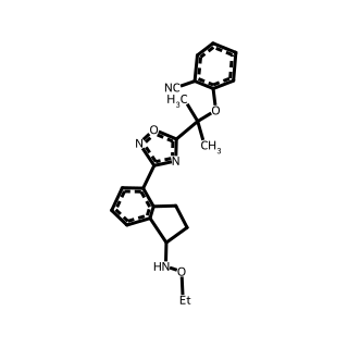 CCONC1CCc2c(-c3noc(C(C)(C)Oc4ccccc4C#N)n3)cccc21